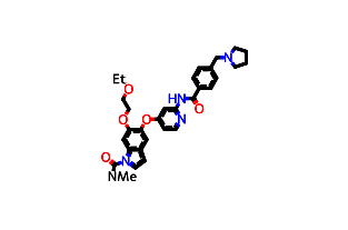 CCOCCOc1cc2c(ccn2C(=O)NC)cc1Oc1ccnc(NC(=O)c2ccc(CN3CCCC3)cc2)c1